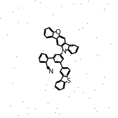 N#Cc1ccccc1-c1cc(-c2ccc3sc4ccccc4c3c2)cc(-n2c3ccccc3c3cc4oc5ccccc5c4cc32)c1